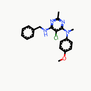 COc1ccc(N(C)c2nc(C)nc(NCc3ccccc3)c2Cl)cc1